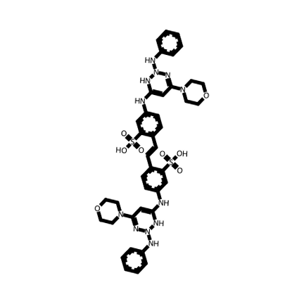 O=S(=O)(O)c1cc(NC2=CC(N3CCOCC3)=NN(Nc3ccccc3)N2)ccc1/C=C/c1ccc(NC2=CC(N3CCOCC3)=NN(Nc3ccccc3)N2)cc1S(=O)(=O)O